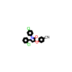 N#Cc1ccc(OC2CC(c3ccccc3Cl)N(c3ccc(Cl)cc3)C2=O)cc1